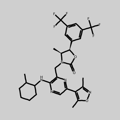 Cc1noc(C)c1-c1cnc(NC2CCCCC2C)c(CN2C(=O)O[C@H](c3cc(C(F)(F)F)cc(C(F)(F)F)c3)[C@@H]2C)n1